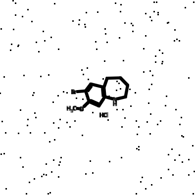 COc1cc2c(cc1Br)CCCCN2.Cl